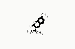 Cc1ccc2c(c1)OC(=O)[C@H](C(C)C)C2